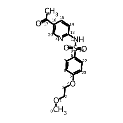 COCCOc1ccc(S(=O)(=O)Nc2ccc(C(C)=O)cn2)cc1